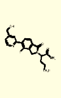 NC(=O)C(CCC(=O)O)N1Cc2c(ccc(-c3cc(CO)ccn3)c2F)C1=O